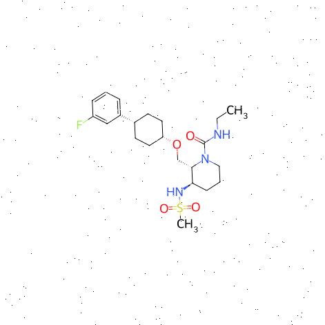 CCNC(=O)N1CCC[C@@H](NS(C)(=O)=O)[C@@H]1CO[C@H]1CC[C@@H](c2cccc(F)c2)CC1